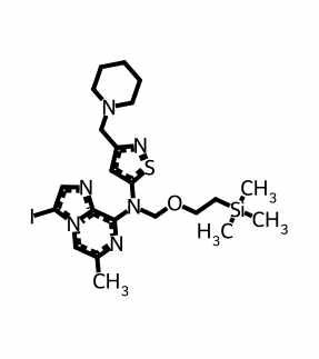 Cc1cn2c(I)cnc2c(N(COCC[Si](C)(C)C)c2cc(CN3CCCCC3)ns2)n1